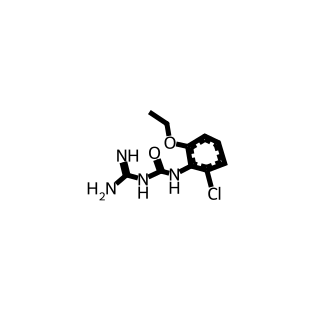 CCOc1cccc(Cl)c1NC(=O)NC(=N)N